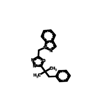 CC(C)(Cc1ccccc1)c1nnc(Cn2ncc3ccccc32)o1